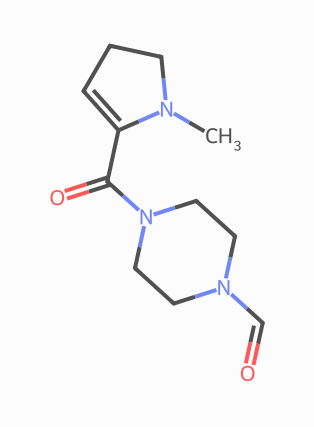 CN1CCC=C1C(=O)N1CCN(C=O)CC1